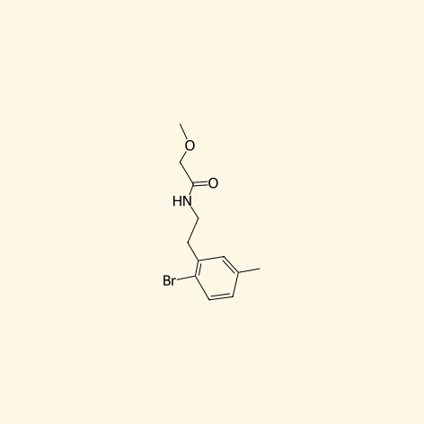 COCC(=O)NCCc1cc(C)ccc1Br